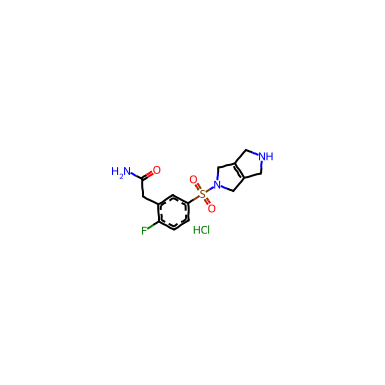 Cl.NC(=O)Cc1cc(S(=O)(=O)N2CC3=C(CNC3)C2)ccc1F